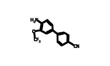 N#Cc1ccc(-c2ccc(N)c(OC(F)(F)F)c2)cc1